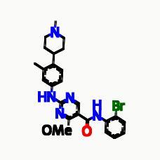 COc1nc(Nc2ccc(C3CCN(C)CC3)c(C)c2)ncc1C(=O)Nc1ccccc1Br